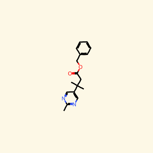 Cc1ncc(C(C)(C)CC(=O)OCc2ccccc2)cn1